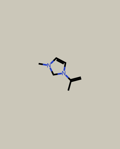 C=C(C)N1C=CN(C)C1